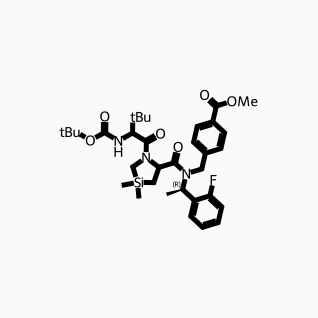 COC(=O)c1ccc(CN(C(=O)C2C[Si](C)(C)CN2C(=O)C(NC(=O)OC(C)(C)C)C(C)(C)C)[C@H](C)c2ccccc2F)cc1